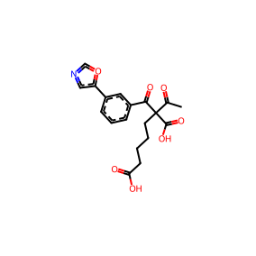 CC(=O)C(CCCCC(=O)O)(C(=O)O)C(=O)c1cccc(-c2cnco2)c1